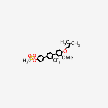 COc1cc(-c2ccc(-c3ccc(OS(C)(=O)=O)cc3)cc2C(F)(F)F)ccc1OCC=C(C)C